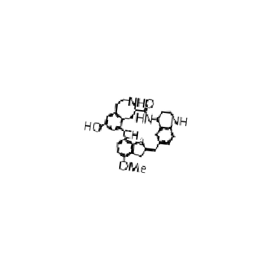 COc1cccc2c1CC(Cc1ccc3c(c1)C(NC(=O)C1Cc4c(C)cc(O)cc4CCN1)CCN3)C2